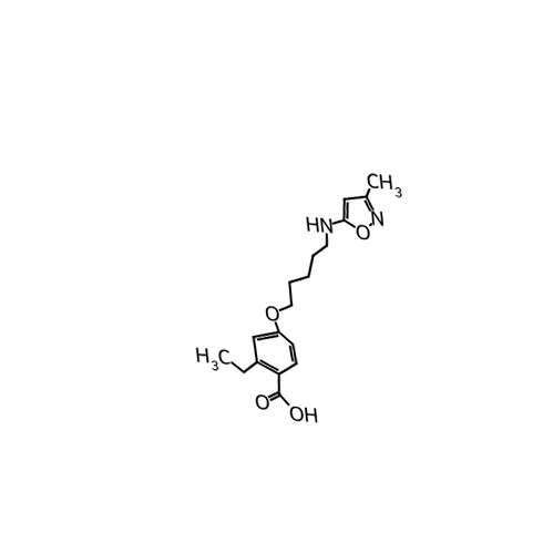 CCc1cc(OCCCCCNc2cc(C)no2)ccc1C(=O)O